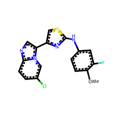 COc1ccc(Nc2nc(-c3cnc4ccc(Cl)cn34)cs2)cc1F